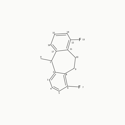 CC1c2cccc(F)c2CCc2c(F)cccc21